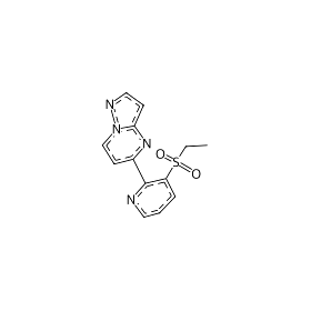 CCS(=O)(=O)c1cccnc1-c1ccn2nccc2n1